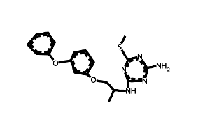 CSc1nc(N)nc(NC(C)COc2cccc(Oc3ccccc3)c2)n1